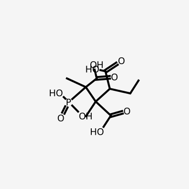 CCC(C(=O)O)C(C)(C(=O)O)C(C)(C(=O)O)P(=O)(O)O